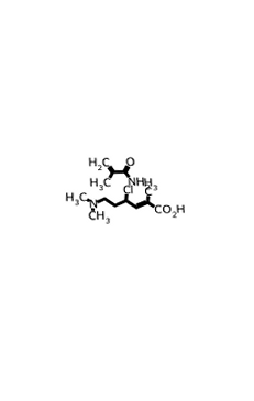 C=C(C)C(N)=O.CC(=CC(Cl)CCN(C)C)C(=O)O